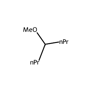 CCC[C](CCC)OC